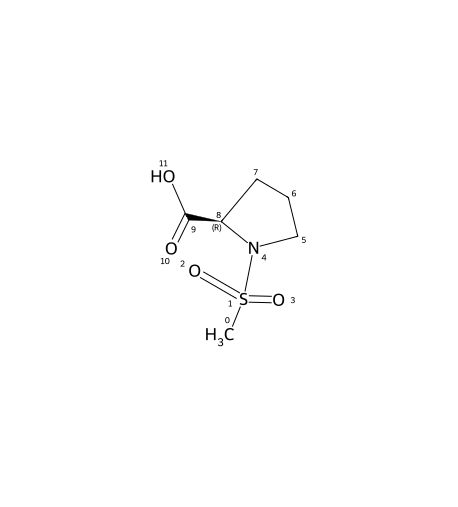 CS(=O)(=O)N1CCC[C@@H]1C(=O)O